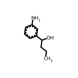 CCCC(O)c1cccc(N)c1